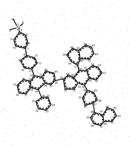 C[Si](C)(C)c1ccc(-c2ccc(-c3c4ccccc4c(-c4ccccc4)c4cc(-c5ccc6c(-c7ccc(-c8cccc9ccccc89)cc7)c7ccccc7c(-c7cccc8ccccc78)c6c5)ccc34)cc2)cc1